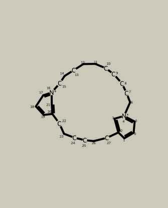 c1cc2c[n+](c1)CCCCCCCCCC[n+]1cccc(c1)CCCCCC2